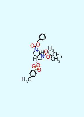 Cc1ccc(S(=O)(=O)OC[C@H]2CN(C(=O)OC(C)(C)C)[C@H]3CN(C(=O)OCc4ccccc4)CC[C@@H]23)cc1